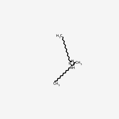 CCCCCCCCCCCCCc1nc(C)cc(NCCCCCCCCCCCC)n1